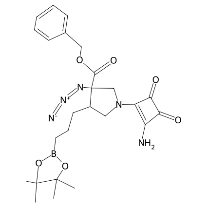 CC1(C)OB(CCCC2CN(c3c(N)c(=O)c3=O)CC2(N=[N+]=[N-])C(=O)OCc2ccccc2)OC1(C)C